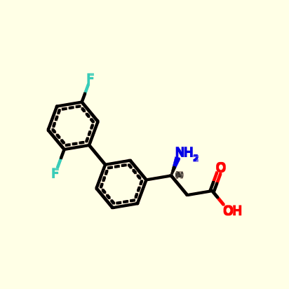 N[C@@H](CC(=O)O)c1cccc(-c2cc(F)ccc2F)c1